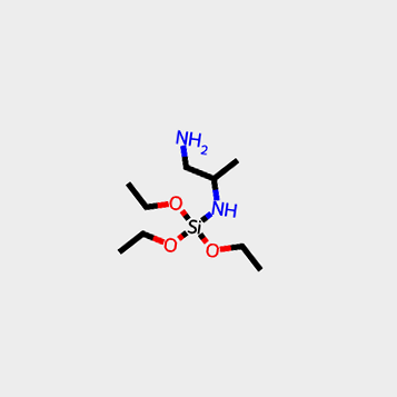 CCO[Si](NC(C)CN)(OCC)OCC